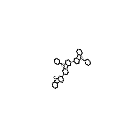 c1ccc(-n2c3ccccc3c3cc(-c4ccc5c(c4)c4ccc(-c6ccc7c(c6)sc6ccccc67)cc4n5-c4ccccc4)ccc32)cc1